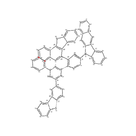 c1ccc(C2N=C(c3ccc(-n4c5ccccc5c5cc6ccccc6cc54)cc3-c3cc4ccccc4c4sc5ccccc5c34)N=C(c3ccc4sc5ccccc5c4c3)N2)cc1